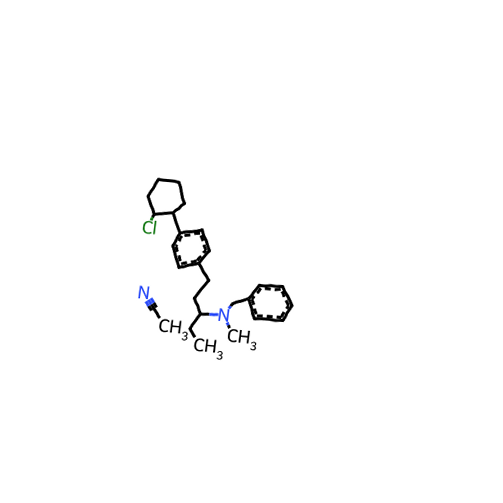 CC#N.CCC(CCc1ccc(C2CCCCC2Cl)cc1)N(C)Cc1ccccc1